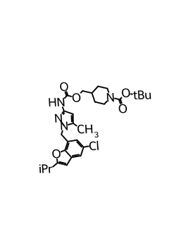 Cc1cc(NC(=O)OCC2CCN(C(=O)OC(C)(C)C)CC2)nn1Cc1cc(Cl)cc2cc(C(C)C)oc12